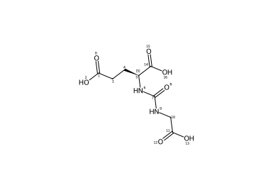 O=C(O)CC[C@H](NC(=O)NCC(=O)O)C(=O)O